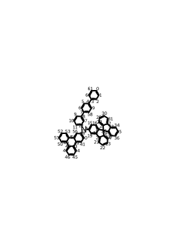 c1ccc(-c2ccc(-c3cccc(N(c4ccc5c(c4)-c4ccccc4C54c5ccccc5-c5ccccc54)c4ccc5c6ccccc6c6ccccc6c5c4)c3)cc2)cc1